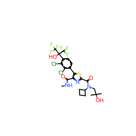 CNC(=O)c1nc(C(=O)N(CC(C)(C)O)C2CCC2)sc1-c1ccc(C(O)(C(F)(F)F)C(F)(F)F)c(Cl)c1Cl